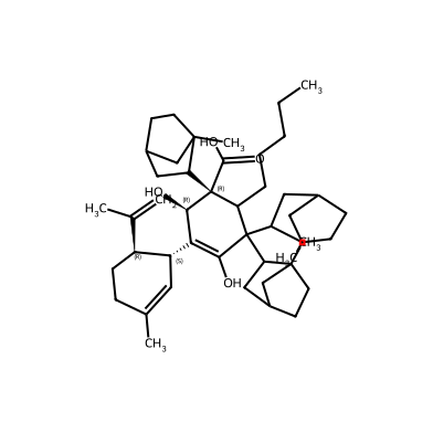 C=C(C)[C@@H]1CCC(C)=C[C@H]1C1=C(O)C(C2CC3CCC2(C)C3)(C2CC3CCC2(C)C3)C(CCCCC)[C@](C(=O)O)(C2CC3CCC2(C)C3)[C@@H]1O